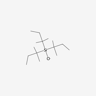 CCC(C)(C)[Si]([O])(C(C)(C)CC)C(C)(C)CC